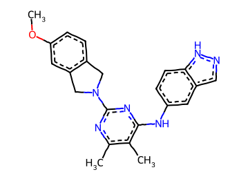 COc1ccc2c(c1)CN(c1nc(C)c(C)c(Nc3ccc4[nH]ncc4c3)n1)C2